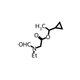 CCN([C]=O)CC(=O)OC(C)C1CC1